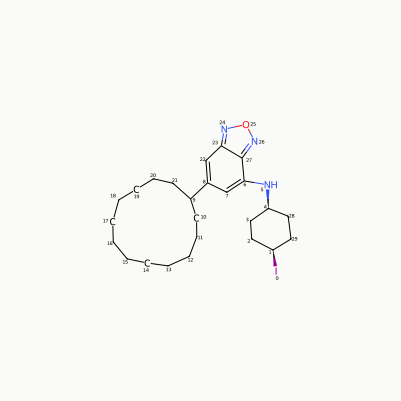 I[C@H]1CC[C@@H](Nc2cc(C3CCCCCCCCCCCC3)cc3nonc23)CC1